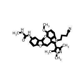 CNC(=O)Nc1ccc2c(c1)C(=O)C(=Cc1c(-c3c(C)nn(C)c3C)n(CCCC#N)c3ccc(OC)cc13)O2